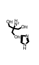 NC(CO)(CO)CO.c1c[nH]cn1